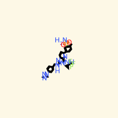 Cc1ccc(-c2ccc3nc(NCc4ccc(-n5cncn5)cc4)nc(NC4(C(F)(F)F)CC4)c3n2)cc1S(N)(=O)=O